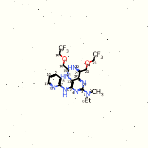 CCN(C)c1nc(Nc2ccccn2)c(NCCOCC(F)(F)F)c(C(=N)COCC(F)(F)F)n1